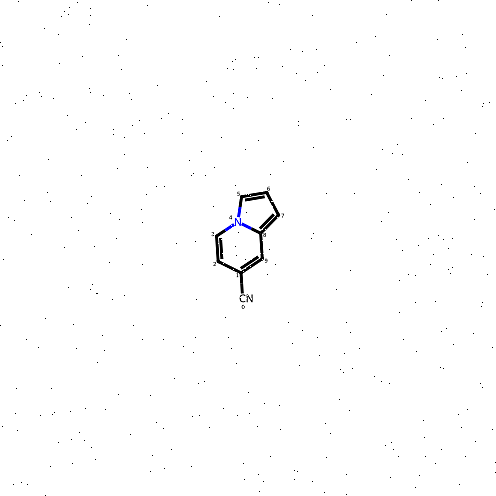 N#Cc1ccn2cccc2c1